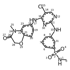 CNS(=O)(=O)c1cccc(Nc2ncc(Cl)c(Nc3ccc4c(c3)N(C)C(=O)CO4)n2)c1